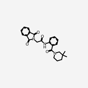 CC1(C)CCCN(C(=O)c2ccccc2NC(=O)CN2C(=O)c3ccccc3C2=O)C1